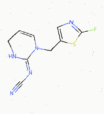 N#CN=C1NCC=CN1Cc1cnc(F)s1